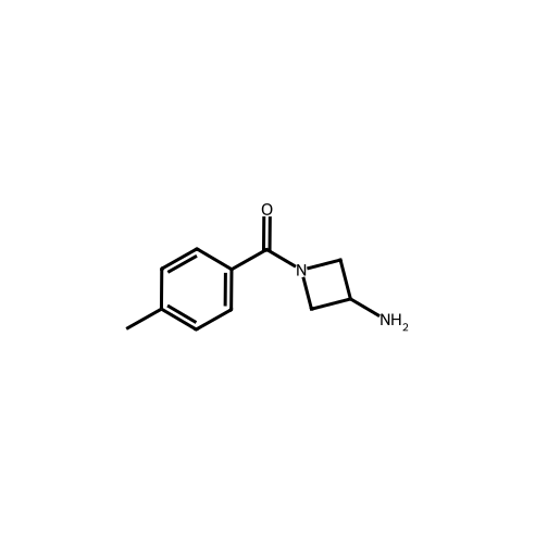 Cc1ccc(C(=O)N2CC(N)C2)cc1